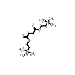 C[N+](C)(C)CCOC(=O)CCC(=O)SCC[N+](C)(C)C